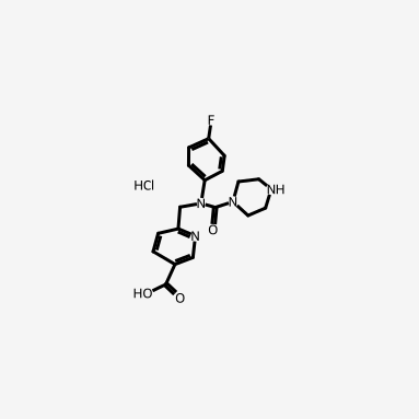 Cl.O=C(O)c1ccc(CN(C(=O)N2CCNCC2)c2ccc(F)cc2)nc1